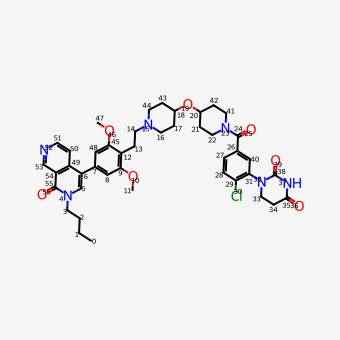 CCCCn1cc(-c2cc(OC)c(CCN3CCC(OC4CCN(C(=O)c5ccc(Cl)c(N6CCC(=O)NC6=O)c5)CC4)CC3)c(OC)c2)c2ccncc2c1=O